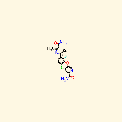 C[C@H](CC(N)=O)N[C@@H](c1ccc(Cl)c(Oc2ccc(C(N)=O)nc2)c1F)C1CC1